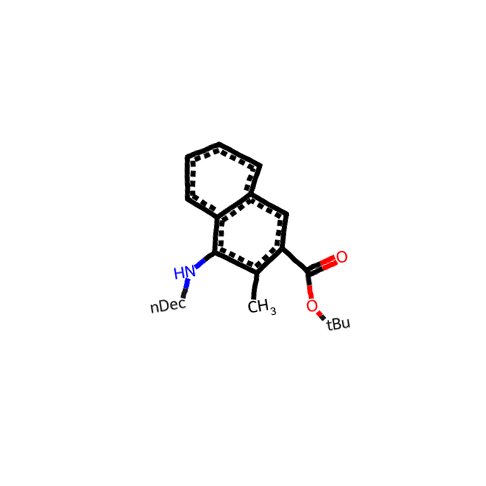 CCCCCCCCCCNc1c(C)c(C(=O)OC(C)(C)C)cc2ccccc12